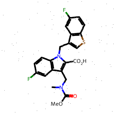 COC(=O)N(C)Cc1c(C(=O)O)n(Cc2csc3ccc(F)cc23)c2ccc(F)cc12